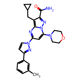 Cc1cccc(-c2ccn(-c3cc(N4CCOCC4)n4nc(C(N)=O)c(CC5CC5)c4n3)n2)c1